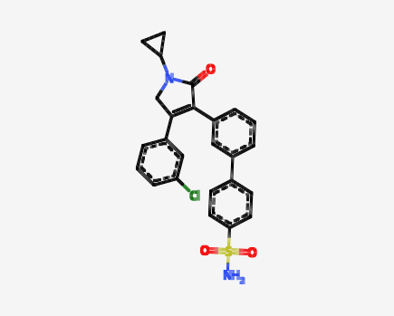 NS(=O)(=O)c1ccc(-c2cccc(C3=C(c4cccc(Cl)c4)CN(C4CC4)C3=O)c2)cc1